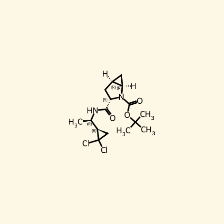 C[C@@H](NC(=O)[C@@H]1C[C@H]2C[C@H]2N1C(=O)OC(C)(C)C)[C@H]1CC1(Cl)Cl